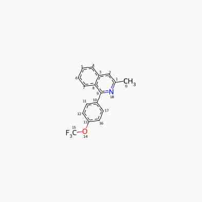 Cc1cc2ccccc2c(-c2ccc(OC(F)(F)F)cc2)n1